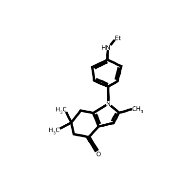 CCNc1ccc(-n2c(C)cc3c2CC(C)(C)CC3=O)cc1